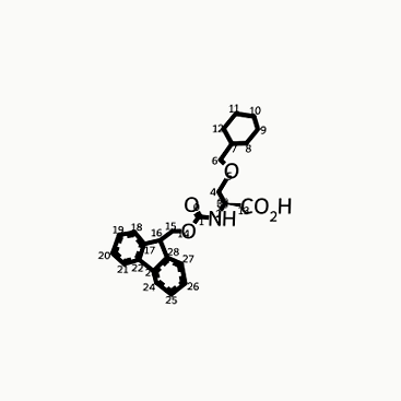 O=C(N[C@@H](COCC1CCCCC1)C(=O)O)OCC1c2ccccc2-c2ccccc21